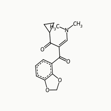 CN(C)C=C(C(=O)c1cccc2c1OCO2)C(=O)C1CC1